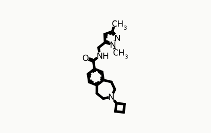 Cc1cc(CNC(=O)c2ccc3c(c2)CCN(C2CCC2)CC3)n(C)n1